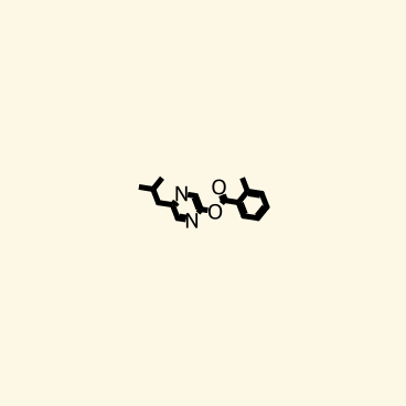 Cc1ccccc1C(=O)Oc1cnc(CC(C)C)cn1